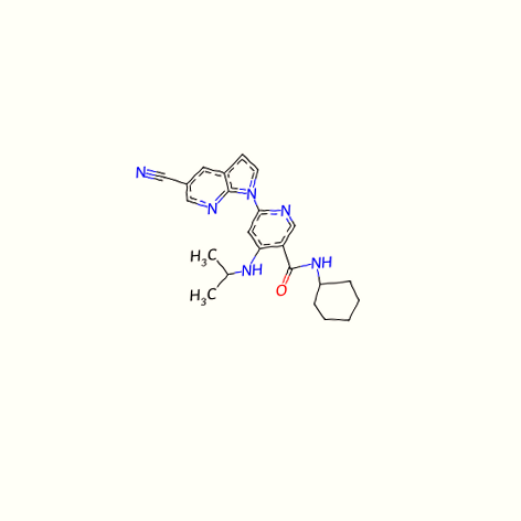 CC(C)Nc1cc(-n2ccc3cc(C#N)cnc32)ncc1C(=O)NC1CCCCC1